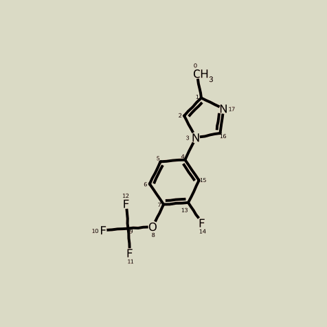 Cc1cn(-c2ccc(OC(F)(F)F)c(F)c2)cn1